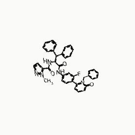 Cn1nccc1C(=O)N[C@H](C(=O)Nc1ccc(-c2cccc(=O)n2Cc2ccccc2)c(F)c1)C(c1ccccc1)c1ccccc1